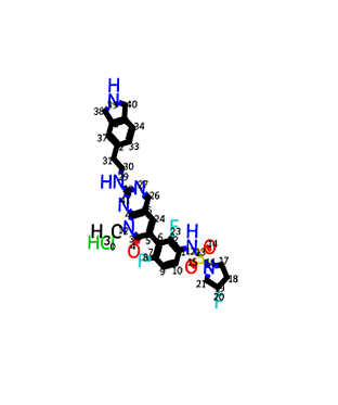 Cl.Cn1c(=O)c(-c2c(F)ccc(NS(=O)(=O)N3CC[C@@H](F)C3)c2F)cc2cnc(NCCc3ccc4c(c3)CNC4)nc21